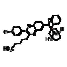 O=C(O)CCCCc1nc2cc(C(=O)N3C[C@H]4CC[C@@H](C3)N4Cc3ccccc3)ccc2nc1-c1ccc(Cl)cc1